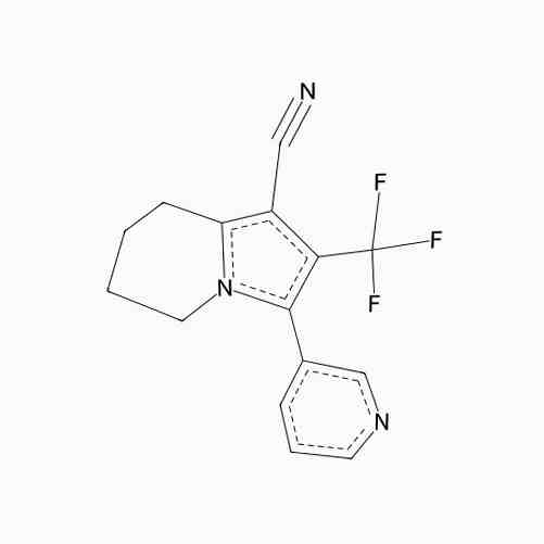 N#Cc1c(C(F)(F)F)c(-c2cccnc2)n2c1CCCC2